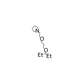 CCC(CC)OCCCOCCN1CCCC1